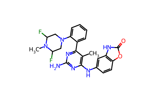 Cc1c(Nc2ccc3oc(=O)[nH]c3c2)nc(N)nc1-c1ccccc1N1CC(F)N(C)C(F)C1